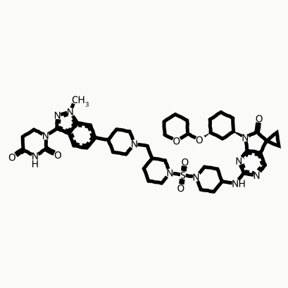 Cn1nc(N2CCC(=O)NC2=O)c2ccc(C3CCN(CC4CCCN(S(=O)(=O)N5CCC(Nc6ncc7c(n6)N([C@@H]6CCC[C@@H](OC8CCCCO8)C6)C(=O)C76CC6)CC5)C4)CC3)cc21